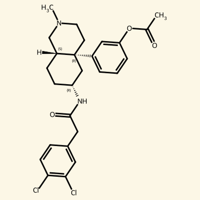 CC(=O)Oc1cccc([C@@]23CCN(C)C[C@H]2CC[C@@H](NC(=O)Cc2ccc(Cl)c(Cl)c2)C3)c1